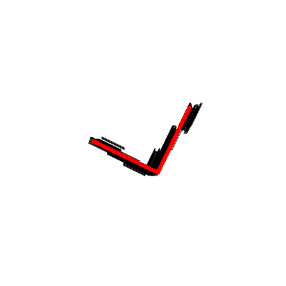 Br.Br.Br.Br.Br.Br.Br.Br.Br.Br.Br.Br.Br.Br.Br.Br.Br.Br.Br.Br.Br.Br.Br.Br.Br.Br.Br.Br.Br.Br.Br.Br.Br.Br.Br.Br.Br.Br.Br.Br.Br.Br.Br.Br.Br.Br.Br.[Ag+].[Ag+].[Ag+].[Ag+].[Ag+].[Ag+].[Ag+].[Ag+].[Ag+].[Ag+].[Ag+].[Ag+].[Ag+].[Ag+].[Ag+].[Ag+].[Ag+].[Ag+].[Ag+].[Ag+].[Ag+].[Ag+].[Ag+].[Ag+].[Ag+].[Ag+].[Ag+].[Ag+].[Ag+].[Ag+].[Ag+].[Ag+].[Ag+].[Ag+].[Ag+].[Ag+].[Ag+].[Ag+].[Ag+].[Ag+].[Ag+].[Ag+].[Ag+].[Ag+].[Ag+].[Ag+].[Ag+].[Ag+].[Ag+].[Ag+].[Br-].[Br-].[Br-].[Br-].[Br-].[Br-].[Br-].[Br-].[Br-].[Br-].[Br-].[Br-].[Br-].[Br-].[Br-].[Br-].[Br-].[Br-].[Br-].[Br-].[Br-].[Br-].[Br-].[Br-].[Br-].[Br-].[Br-].[Br-].[Br-].[Br-].[Br-].[Br-].[Br-].[Br-].[Br-].[Br-].[Br-].[Br-].[Br-].[Br-].[Br-].[Br-].[Br-].[Br-].[Br-].[Br-].[Br-].[Br-].[Br-].[Br-]